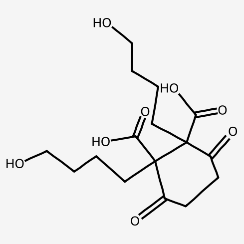 O=C(O)C1(CCCCO)C(=O)CCC(=O)C1(CCCCO)C(=O)O